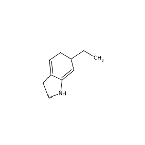 CCC1C=C2NCCC2=CC1